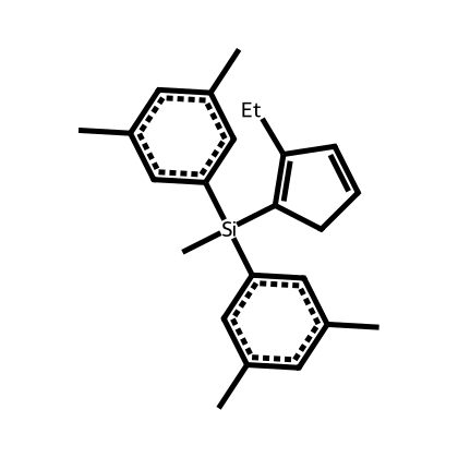 CCC1=C([Si](C)(c2cc(C)cc(C)c2)c2cc(C)cc(C)c2)CC=C1